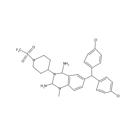 CN1c2ccc(C(c3ccc(Cl)cc3)c3ccc(Cl)cc3)cc2C(N)N(C2CCN(S(=O)(=O)C(F)(F)F)CC2)C1N